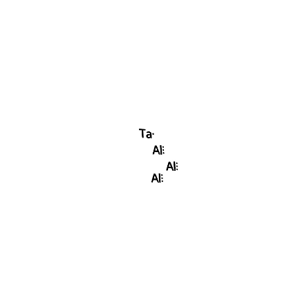 [Al].[Al].[Al].[Ta]